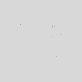 COCCOCCOCC(O)C(CO)OCCOCCOC